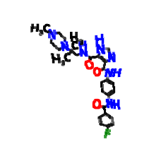 CN1CCN(C(C)(C)CNC(=O)c2[nH]cnc2C(=O)Nc2ccc(NC(=O)c3ccc(F)cc3)cc2)CC1